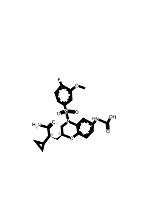 COc1cc(S(=O)(=O)N2C[C@H](C[C@@H](C(N)=O)C3CC3)Oc3ccc(NC(=O)O)cc32)ccc1F